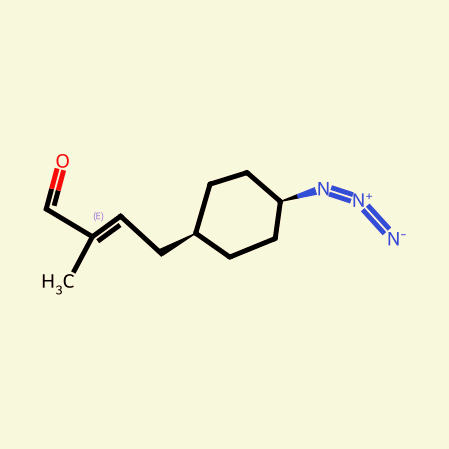 C/C(C=O)=C\C[C@H]1CC[C@@H](N=[N+]=[N-])CC1